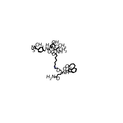 Cc1ncsc1-c1ccc(CNC(=O)[C@@H]2C[C@@H](O)CN2C(=O)[C@@H](NC(=O)CCCCC/C=C\COC[C@H](CCC(N)=O)NC(=O)[C@@H]2Cc3cccc4c3N2C(=O)CCC4)C(C)(C)C)cc1